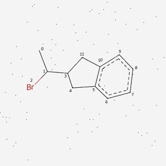 CC(Br)C1Cc2ccccc2C1